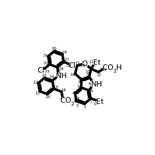 CCc1cccc2c3c([nH]c12)C(CC)(CC(=O)O)OCC3.O=C(O)Cc1ccccc1Nc1c(Cl)cccc1Cl